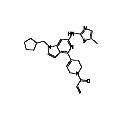 C=CC(=O)N1CC=C(c2nc(Nc3ncc(C)s3)cc3c2ccn3CC2CCCC2)CC1